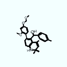 COCOc1ccc(-c2ccc3c(c2C(O)c2ccc(C)cc2)C(C)=CC(C)(C)N3)c(OC)c1